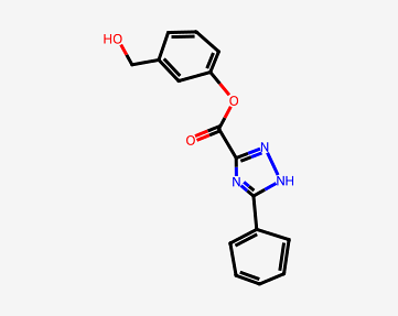 O=C(Oc1cccc(CO)c1)c1n[nH]c(-c2ccccc2)n1